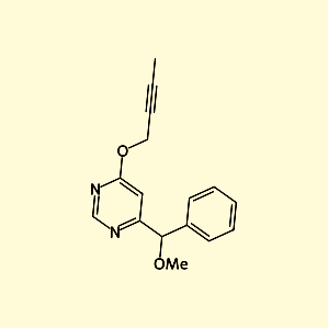 CC#CCOc1cc(C(OC)c2ccccc2)ncn1